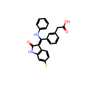 O=C(O)Cc1cccc(/C(Nc2ccccc2)=C2/C(=O)Nc3cc(F)ccc32)c1